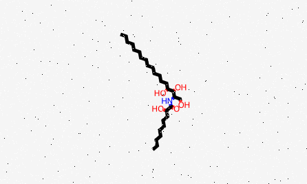 CCCCCCCCCCCCCCC(O)C(O)C(CO)NC(=O)C(O)CCCCCCCC